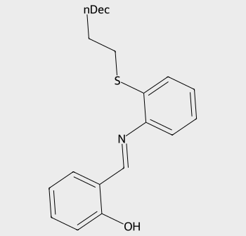 CCCCCCCCCCCCSc1ccccc1N=Cc1ccccc1O